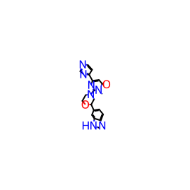 Cn1c(N2CCOC(c3ccc4nc[nH]c4c3)C2)nc(-c2ccncn2)cc1=O